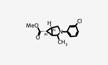 COC(=O)[C@H]1C2C(C)N(c3cccc(Cl)c3)C[C@@H]21